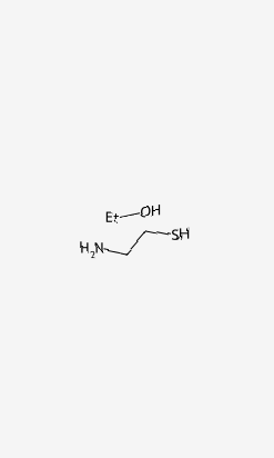 CCO.NCCS